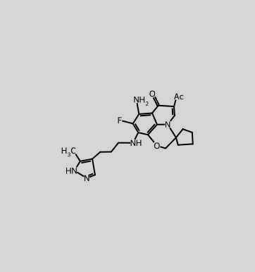 CC(=O)c1cn2c3c(c(NCCCc4cn[nH]c4C)c(F)c(N)c3c1=O)OCC21CCCC1